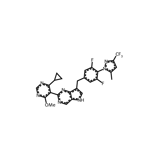 COc1ncnc(C2CC2)c1-c1ncc2[nH]cc(Cc3cc(F)c(-n4nc(C(F)(F)F)cc4C)c(F)c3)c2n1